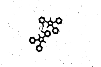 CC1=C(c2ccccc2)C(c2ccccc2)=C(C)C1c1ccccc1COCc1ccccc1C1C(C)=C(c2ccccc2)C(c2ccccc2)=C1C